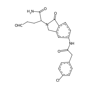 NC(=O)C(CCC=O)N1Cc2cc(NC(=O)Cc3ccc(Cl)cc3)ccc2C1=O